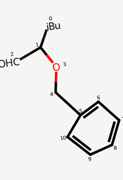 CCC(C)C(C=O)OCc1ccccc1